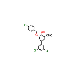 O=Cc1cc(-c2cc(Cl)cc(Cl)c2)cc(OCc2ccc(Cl)cc2)c1O